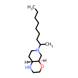 CCCCCCCC(C)N1CC[C@H]2NCCO[C@@H]2C1